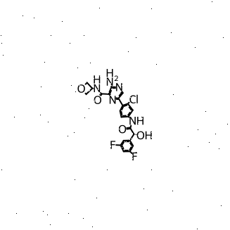 Nc1ncc(-c2ccc(NC(=O)[C@H](O)c3cc(F)cc(F)c3)cc2Cl)nc1C(=O)NC1COC1